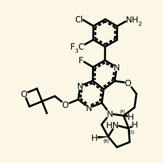 CC1(COc2nc3c4c(nc(-c5cc(N)cc(Cl)c5C(F)(F)F)c(F)c4n2)OCC[C@@H]2[C@@H]4CC[C@H](CN32)N4)COC1